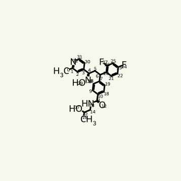 Cc1cc(C(CC(c2ccc(C(=O)NCC(C)O)cc2)c2ccc(F)cc2F)=NO)ccn1